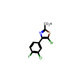 O=C(O)c1nc(-c2ccc(F)c(Cl)c2)c(Br)s1